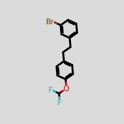 FC(F)Oc1ccc(CCc2cccc(Br)c2)cc1